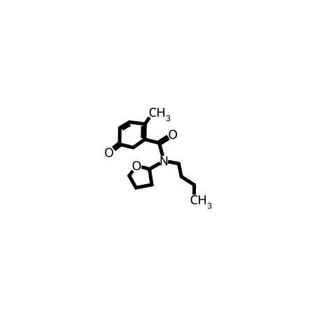 CCCCN(C(=O)C1=C(C)C=CC(=O)C1)C1CCCO1